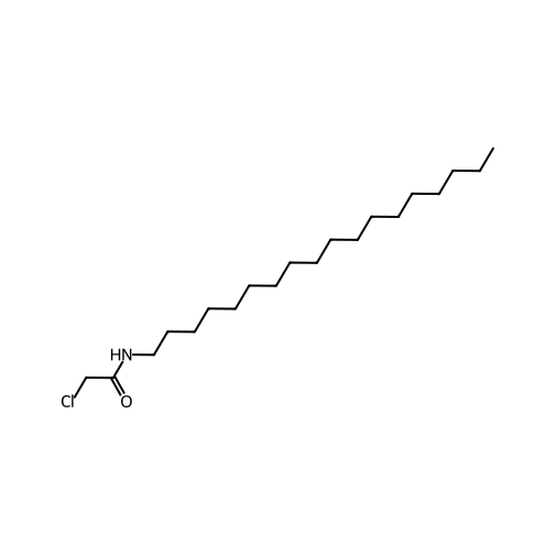 CCCCCCCCCCCCCCCCCCNC(=O)CCl